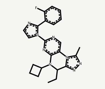 CCC1c2nnc(C)n2-c2cnc(-n3ccnc3-c3ccccc3F)nc2N1C1CCC1